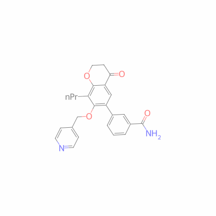 CCCc1c2c(cc(-c3cccc(C(N)=O)c3)c1OCc1ccncc1)C(=O)CCO2